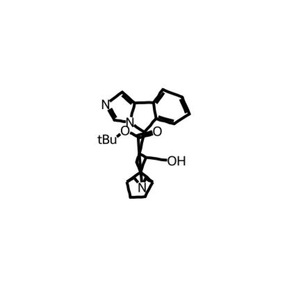 CC(C)(C)OC(=O)N1CC2CCC(C1)C21CC(C2c3ccccc3-c3cncn32)C1O